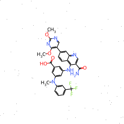 COc1ncc(-c2ccc3c(Nc4cc(C(=O)O)cc(N(C)c5cccc(C(F)(F)F)c5)c4)c(C(N)=O)cnc3c2)c(OC)n1